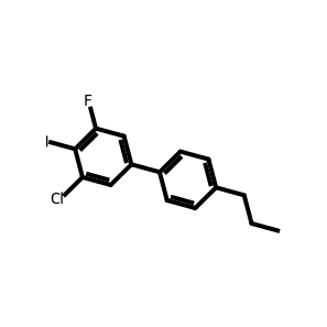 CCCc1ccc(-c2cc(F)c(I)c(Cl)c2)cc1